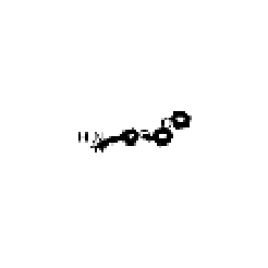 NC(=O)C#Cc1ccc(OCc2cccc(Oc3ccccc3)c2)cc1